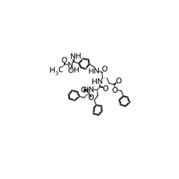 CC(=O)N(O)C(=N)c1ccc(CNC(=O)[C@H](CCC(=O)OCc2ccccc2)NC(=O)[C@@H](CCc2ccccc2)NS(=O)(=O)Cc2ccccc2)cc1